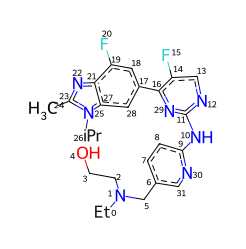 CCN(CCO)Cc1ccc(Nc2ncc(F)c(-c3cc(F)c4nc(C)n(C(C)C)c4c3)n2)nc1